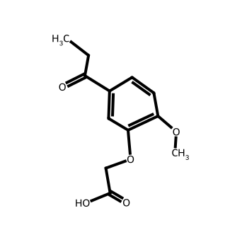 CCC(=O)c1ccc(OC)c(OCC(=O)O)c1